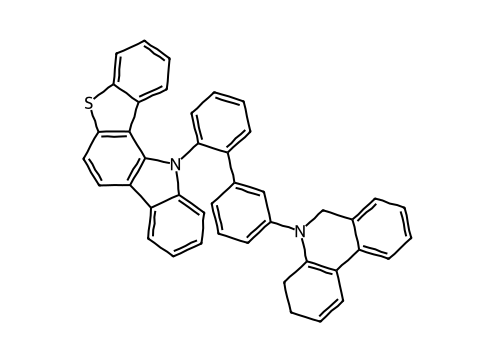 C1=CC2=C(CC1)N(c1cccc(-c3ccccc3-n3c4ccccc4c4ccc5sc6ccccc6c5c43)c1)Cc1ccccc12